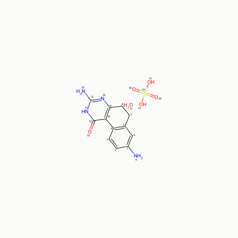 Nc1ccc2c(c1)CCc1nc(N)[nH]c(=O)c1-2.O.O=S(=O)(O)O